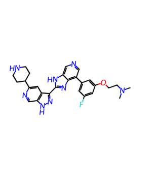 CN(C)CCOc1cc(F)cc(-c2cncc3[nH]c(-c4n[nH]c5cnc(C6CCNCC6)cc45)nc23)c1